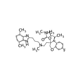 CNC(=O)OC1(CCN(C)CCCc2nc3c(C)ccc(C)c3[nH]2)COc2cc(F)ccc2[C@@H]1C(C)C